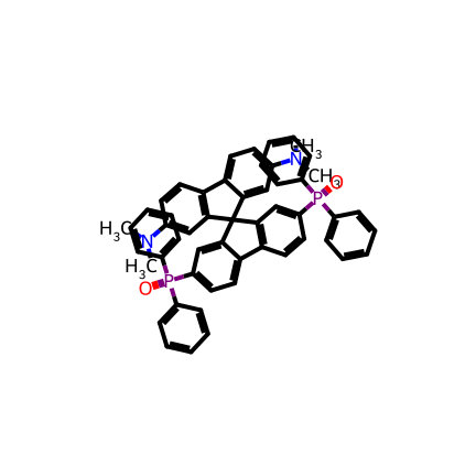 CN(C)c1ccc2c(c1)C1(c3cc(N(C)C)ccc3-2)c2cc(P(=O)(c3ccccc3)c3ccccc3)ccc2-c2ccc(P(=O)(c3ccccc3)c3ccccc3)cc21